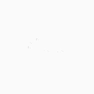 CC1CC(C)C(CNC(=O)C2CC(C3CC3)NC3C2CNN3C(C)C)C(=O)N1